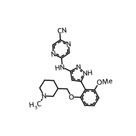 COc1cccc(OCC2CCCN(C)C2)c1-c1cc(Nc2cnc(C#N)cn2)n[nH]1